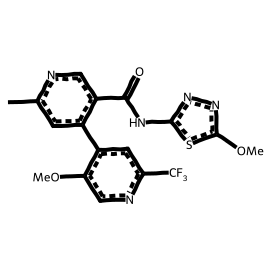 COc1nnc(NC(=O)c2cnc(C)cc2-c2cc(C(F)(F)F)ncc2OC)s1